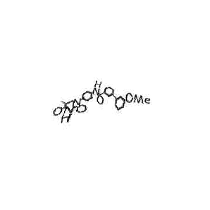 COc1cccc(-c2cccc(C(=O)Nc3ccc(-n4cc(C)c(=O)[nH]c4=O)cc3)c2)c1